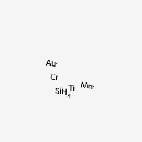 [Au].[Cr].[Mn].[SiH4].[Ti]